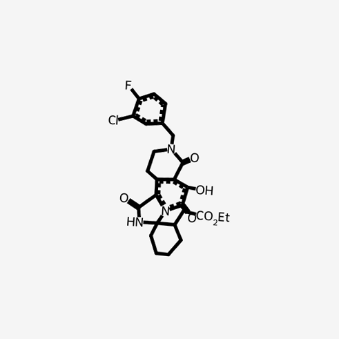 CCOC(=O)CC1CCCCC12NC(=O)c1c3c(c(O)c(=O)n12)C(=O)N(Cc1ccc(F)c(Cl)c1)CC3